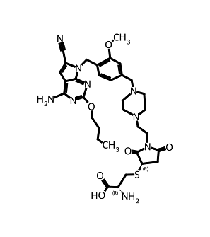 CCCCOc1nc(N)c2cc(C#N)n(Cc3ccc(CN4CCN(CCN5C(=O)C[C@@H](SC[C@H](N)C(=O)O)C5=O)CC4)cc3OC)c2n1